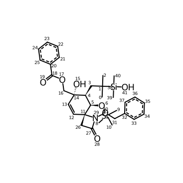 CC(C)(C[C@H]1[C@@H](O[Si](C)(C)C)[C@]2(C=C[C@@]1(O)COC(=O)c1ccccc1)CC(=O)N2OCc1ccccc1)[Si](C)(C)O